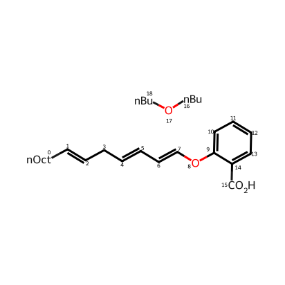 CCCCCCCCC=CCC=CC=COc1ccccc1C(=O)O.CCCCOCCCC